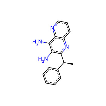 C[C@@H](c1ccccc1)c1nc2cccnc2c(N)c1N